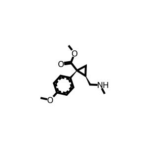 CNC[C@@H]1C[C@]1(C(=O)OC)c1ccc(OC)cc1